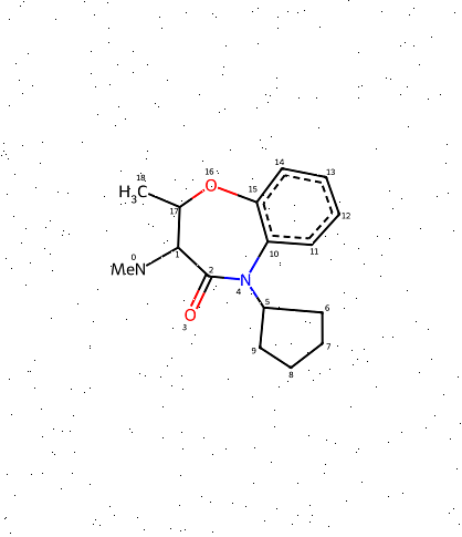 CNC1C(=O)N(C2CCCC2)c2ccccc2OC1C